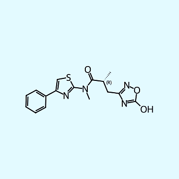 C[C@H](Cc1noc(O)n1)C(=O)N(C)c1nc(-c2ccccc2)cs1